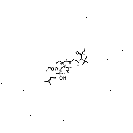 CCO[C@@H]1CC[C@@H](OC(=O)CNC(C(=O)OC)C(C)(C)C)[C@@H](OC)[C@@H]1[C@@](C)(O)CCC=C(C)C